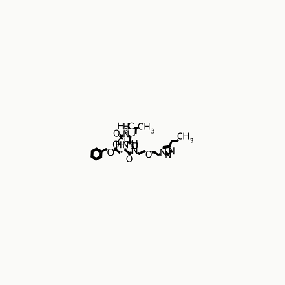 CCCc1cn(CCOCCNC(=O)[C@H](CC(=O)OCc2ccccc2)NC(=O)[C@@H](CC(C)C)NC(C)=O)nn1